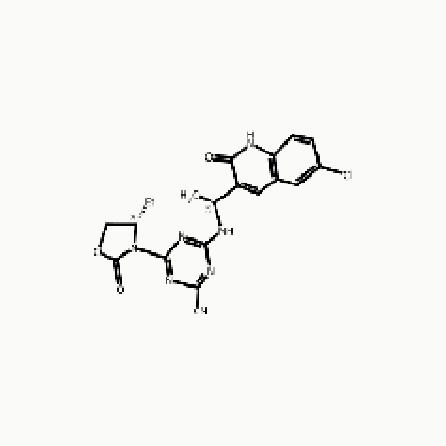 CC[C@H]1COC(=O)N1c1nc(C#N)nc(N[C@@H](C)c2cc3cc(Cl)ccc3[nH]c2=O)n1